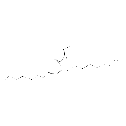 CCCCCCCCCN(CCCCCCCCC)C(=O)OCC